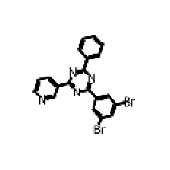 Brc1cc(Br)cc(-c2nc(-c3ccccc3)nc(-c3cccnc3)n2)c1